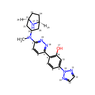 CN(c1ccc(-c2ccc(-n3nccn3)cc2O)nn1)[C@H]1C[C@H]2CC[C@@H](C1)N2